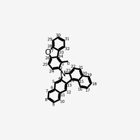 Cc1c(-n2c3cc4ccccc4cc3c3c4ccccc4ccc32)ccc2oc3ccccc3c12